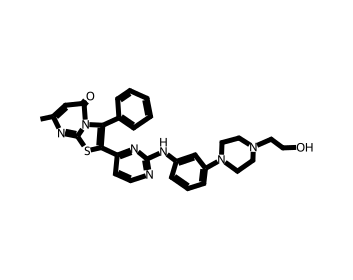 Cc1cc(=O)n2c(-c3ccccc3)c(-c3ccnc(Nc4cccc(N5CCN(CCO)CC5)c4)n3)sc2n1